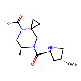 CO[C@H]1CN[C@H](C(=O)N2CC3(CC3)N(C(=O)C(F)(F)F)C[C@@H]2C)C1